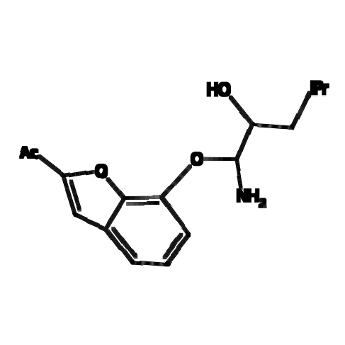 CC(=O)c1cc2cccc(OC(N)C(O)CC(C)C)c2o1